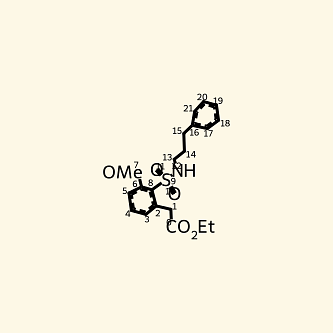 CCOC(=O)Cc1cccc(OC)c1S(=O)(=O)NCCCc1ccccc1